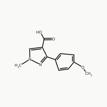 COc1ccc(-c2nn(C)cc2C(=O)O)cc1